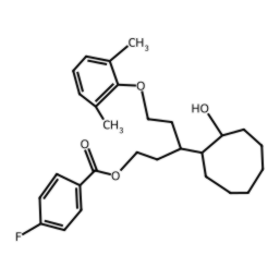 Cc1cccc(C)c1OCCC(CCOC(=O)c1ccc(F)cc1)C1CCCCCCC1O